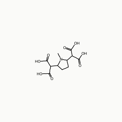 CN1C(C(C(=O)O)C(=O)O)CCC1C(C(=O)O)C(=O)O